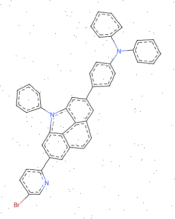 Brc1ccc(-c2cc3ccc4cc(-c5ccc(N(c6ccccc6)c6ccccc6)cc5)cc5c4c3c(c2)n5-c2ccccc2)nc1